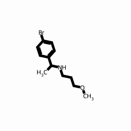 COCCCNC(C)c1ccc(Br)cc1